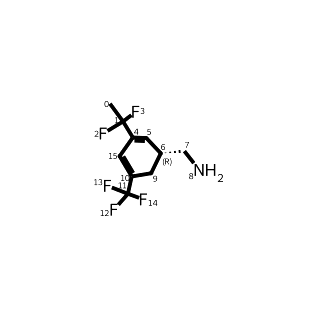 CC(F)(F)C1=C[C@H](CN)CC(C(F)(F)F)=C1